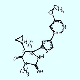 COc1cncc(-c2csc([C@@]3(C)NC(=N)N(C)C(=O)[C@H]3C3CC3)c2)c1